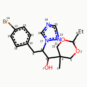 CCC1OCC(C)(C(O)C(Cc2ccc(Br)cc2)n2cncn2)CO1